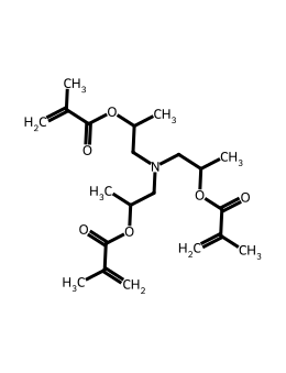 C=C(C)C(=O)OC(C)CN(CC(C)OC(=O)C(=C)C)CC(C)OC(=O)C(=C)C